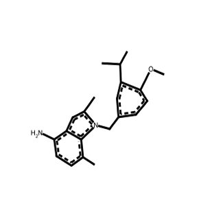 COc1ccc(Cn2c(C)cc3c(N)ccc(C)c32)cc1C(C)C